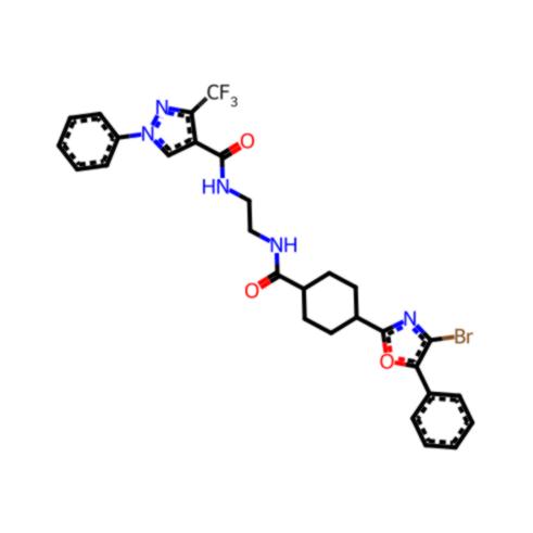 O=C(NCCNC(=O)C1CCC(c2nc(Br)c(-c3ccccc3)o2)CC1)c1cn(-c2ccccc2)nc1C(F)(F)F